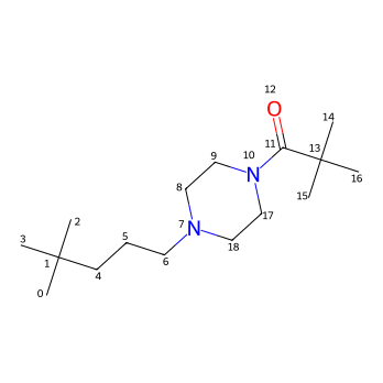 CC(C)(C)CCCN1CCN(C(=O)C(C)(C)C)CC1